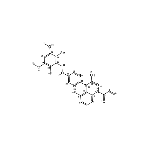 C=CC(=O)Nc1cccc(F)c1N(C(=O)O)c1ncc(OCc2c(F)c(OC)cc(OC)c2F)cn1